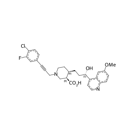 COc1ccc2nccc([C@@H](O)CC[C@@H]3CCN(CC#Cc4ccc(Cl)c(F)c4)C[C@@H]3C(=O)O)c2c1